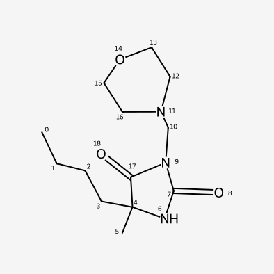 CCCCC1(C)NC(=O)N(CN2CCOCC2)C1=O